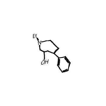 CCN1CCC(c2ccccc2)C(O)C1